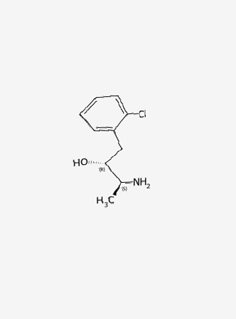 C[C@H](N)[C@H](O)Cc1ccccc1Cl